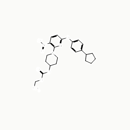 CCOC(=O)OC1CCN(c2nc(Oc3ccc(C4CCCC4)cc3)ccc2[N+](=O)[O-])CC1